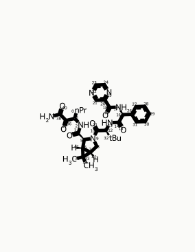 CCCC(NC(=O)[C@@H]1[C@@H]2[C@H](CN1C(=O)[C@@H](NC(=O)[C@@H](NC(=O)c1cnccn1)c1ccccc1)C(C)(C)C)C2(C)C)C(=O)C(N)=O